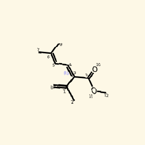 C=C(C)/C(=C\C=C(C)C)C(=O)OC